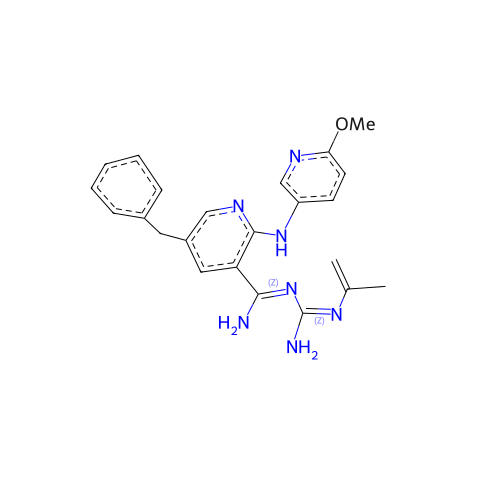 C=C(C)/N=C(N)\N=C(/N)c1cc(Cc2ccccc2)cnc1Nc1ccc(OC)nc1